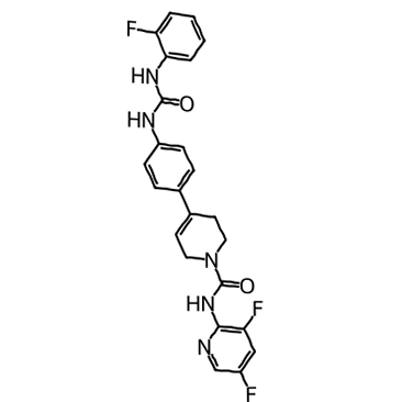 O=C(Nc1ccc(C2=CCN(C(=O)Nc3ncc(F)cc3F)CC2)cc1)Nc1ccccc1F